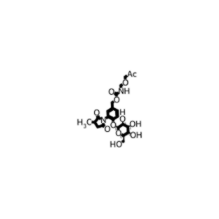 CC(=O)COCNC(=O)OCc1ccc(O[C@@H]2O[C@H](CO)[C@H](O)[C@H](O)[C@H]2O)c(N2C(=O)CC(C)C2=O)c1